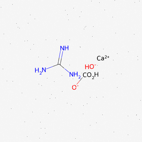 N=C(N)N.O=C([O-])O.[Ca+2].[OH-]